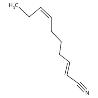 CC/C=C\CCC/C=C/C#N